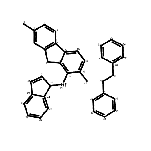 Cc1ccc2c(c1)Cc1c-2ccc(C)[c]1[Hf][CH]1C=Cc2ccccc21.c1ccc(CCc2ccccc2)cc1